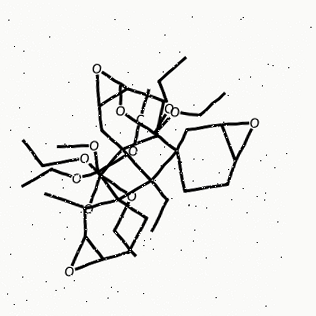 CCOC(OC)(OCC)C1(C(CC)(C2(C(OC)(OCC)OCC)CCC3OC3C2)C2(C(OC)(OCC)OCC)CCC3OC3C2)CCC2OC2C1